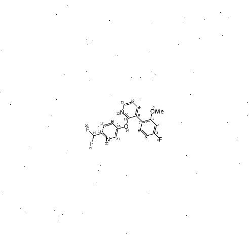 COc1cc(F)ccc1-c1cccnc1Oc1ccc(C(F)F)nc1